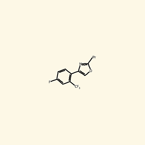 CC(C)c1nc(-c2ccc(F)cc2C(F)(F)F)co1